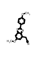 COc1ccc(-c2nc3c(CC#N)cc(OC)cc3s2)cc1